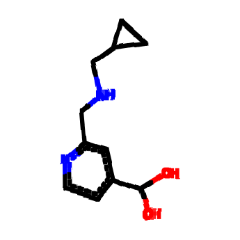 OC(O)c1ccnc(CNCC2CC2)c1